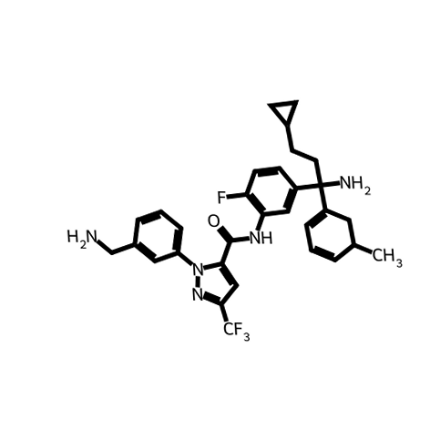 CC1C=CC=C(C(N)(CCC2CC2)c2ccc(F)c(NC(=O)c3cc(C(F)(F)F)nn3-c3cccc(CN)c3)c2)C1